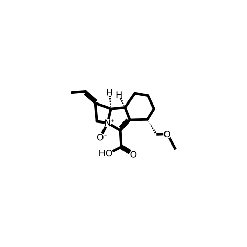 C/C=C1\C[N+]2([O-])C(C(=O)O)=C3[C@@H](COC)CCC[C@@H]3[C@H]12